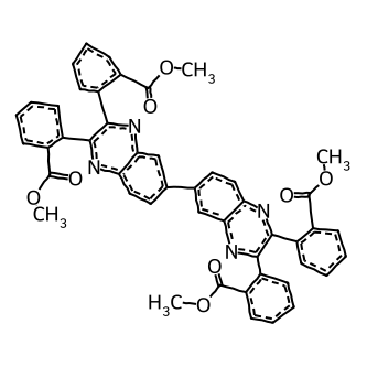 COC(=O)c1ccccc1-c1nc2ccc(-c3ccc4nc(-c5ccccc5C(=O)OC)c(-c5ccccc5C(=O)OC)nc4c3)cc2nc1-c1ccccc1C(=O)OC